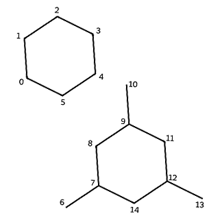 C1CCCCC1.CC1CC(C)CC(C)C1